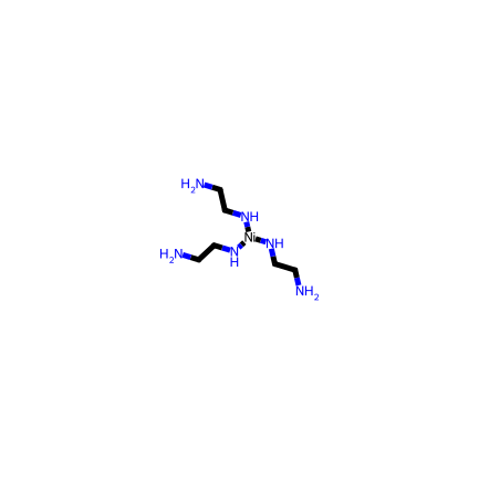 NCC[NH][Ni]([NH]CCN)[NH]CCN